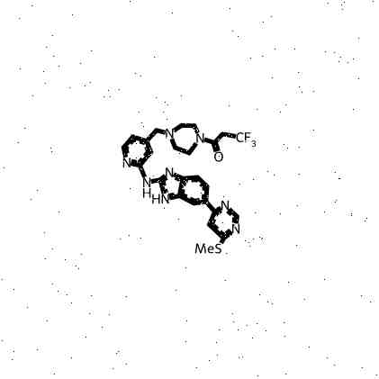 CSc1cc(-c2ccc3nc(Nc4cc(CN5CCN(C(=O)CC(F)(F)F)CC5)ccn4)[nH]c3c2)ncn1